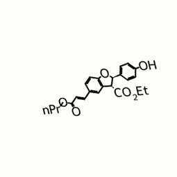 CCCOC(=O)/C=C/c1ccc2c(c1)[C@@H](C(=O)OCC)[C@H](c1ccc(O)cc1)O2